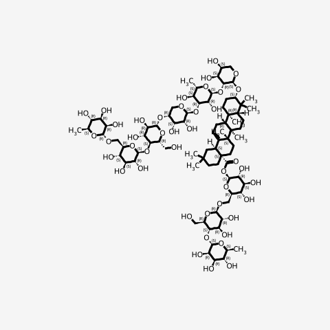 C[C@@H]1O[C@@H](OC[C@H]2O[C@@H](O[C@H]3[C@H](O)[C@@H](O)[C@H](O[C@@H]4CO[C@@H](O[C@@H]5[C@@H](O)[C@H](C)O[C@@H](O[C@H]6[C@H](O[C@H]7CC[C@]8(C)[C@H]9CC=C%10[C@@H]%11CC(C)(C)CC[C@]%11(C(=O)O[C@@H]%11O[C@H](CO[C@@H]%12O[C@H](CO)[C@@H](O[C@@H]%13O[C@@H](C)[C@H](O)[C@@H](O)[C@H]%13O)[C@H](O)[C@H]%12O)[C@@H](O)[C@H](O)[C@H]%11O)CC[C@@]%10(C)[C@]9(C)CC[C@H]8C7(C)C)OC[C@H](O)[C@@H]6O)[C@@H]5O)[C@H](O)[C@@H]4O)O[C@@H]3CO)[C@H](O)[C@@H](O)[C@@H]2O)[C@H](O)[C@H](O)[C@H]1O